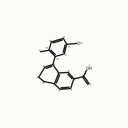 C=C(O)c1ccc2c(c1)C(c1cc(Cl)ccc1C)=CCC2